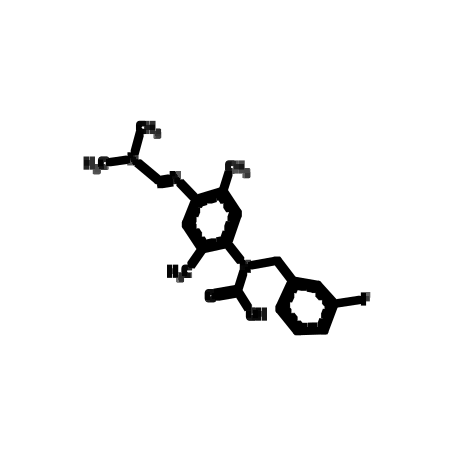 Cc1cc(N(Cc2cccc(F)c2)C(=O)O)c(C)cc1N=CN(C)C